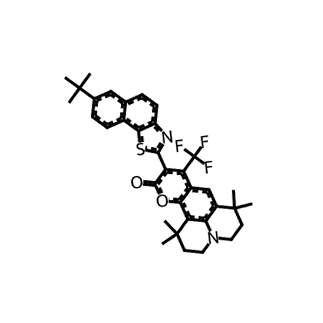 CC(C)(C)c1ccc2c(ccc3nc(-c4c(C(F)(F)F)c5cc6c7c(c5oc4=O)C(C)(C)CCN7CCC6(C)C)sc32)c1